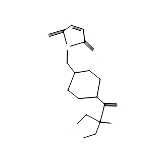 CCC(C)(CC)C(=O)C1CCC(CN2C(=O)C=CC2=O)CC1